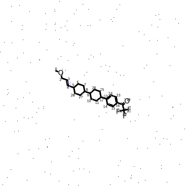 COC/C=C/C1CCC(C2CCC(c3ccc(C(=O)C(F)(F)F)cc3)CC2)CC1